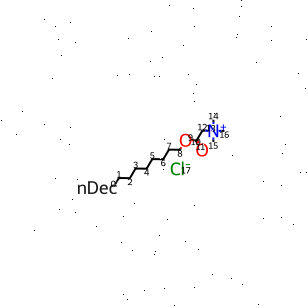 CCCCCCCCCCCCCCCCCCOC(=O)C[N+](C)(C)C.[Cl-]